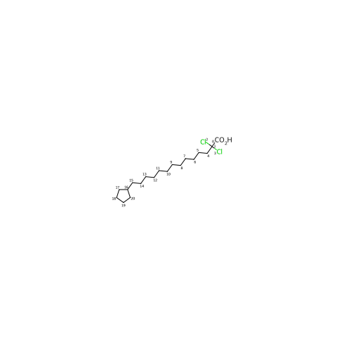 O=C(O)C(Cl)(Cl)CCCCCCCCCCCCC1CCCC1